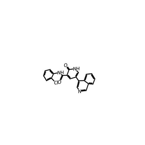 O=C(Nc1ccccc1Cl)c1cc(-c2cncc3ccccc23)c[nH]c1=O